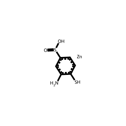 Nc1cc(S(=O)O)ccc1S.[Zn]